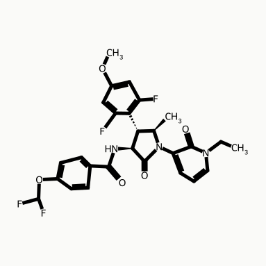 CCn1cccc(N2C(=O)[C@@H](NC(=O)c3ccc(OC(F)F)cc3)[C@H](c3c(F)cc(OC)cc3F)[C@H]2C)c1=O